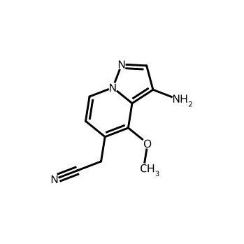 COc1c(CC#N)ccn2ncc(N)c12